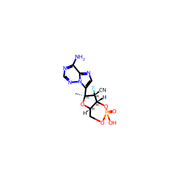 C[C@@]1(c2cnc3c(N)ncnn23)O[C@@H]2COP(=O)(O)O[C@H]2[C@]1(F)C#N